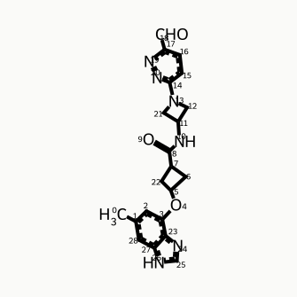 Cc1cc(OC2CC(C(=O)NC3CN(c4ccc(C=O)nn4)C3)C2)c2nc[nH]c2c1